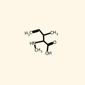 C=CC(C)C(NC)C(=O)O